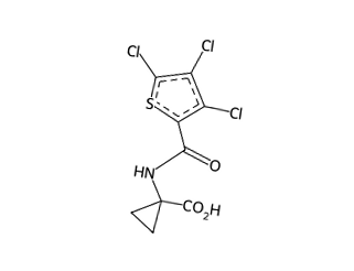 O=C(NC1(C(=O)O)CC1)c1sc(Cl)c(Cl)c1Cl